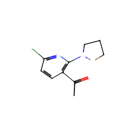 CC(=O)c1ccc(Cl)nc1N1CCCS1